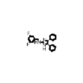 Fc1cc(F)cc(CNC2=N[C@@H](C3C=CC=CC3)[C@@H](c3ccccc3)N2)c1